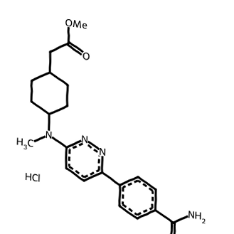 COC(=O)CC1CCC(N(C)c2ccc(-c3ccc(C(=N)N)cc3)nn2)CC1.Cl